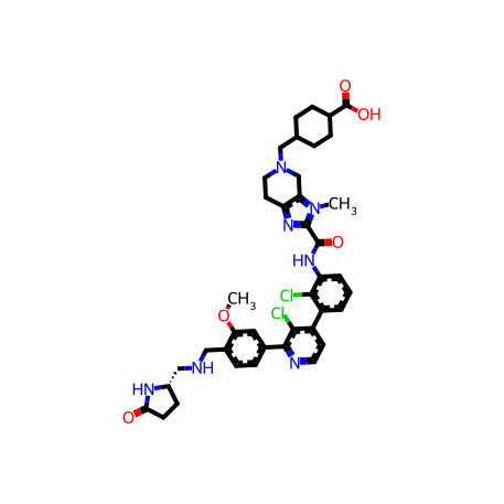 COc1cc(-c2nccc(-c3cccc(NC(=O)c4nc5c(n4C)CN(CC4CCC(C(=O)O)CC4)CC5)c3Cl)c2Cl)ccc1CNC[C@@H]1CCC(=O)N1